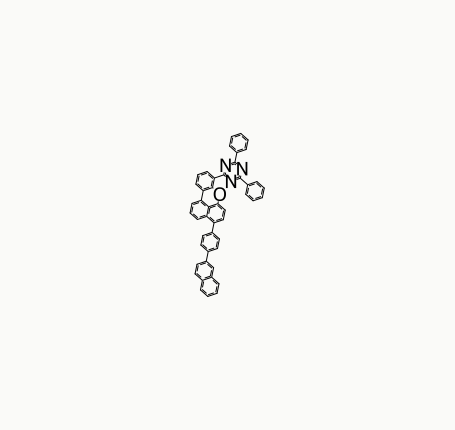 c1ccc(-c2nc(-c3ccccc3)nc(-c3cccc4c3Oc3ccc(-c5ccc(-c6ccc7ccccc7c6)cc5)c5cccc-4c35)n2)cc1